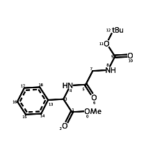 COC(=O)C(NC(=O)CNC(=O)OC(C)(C)C)c1ccccc1